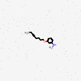 CCC#CCCCCOc1cccc(NC)c1